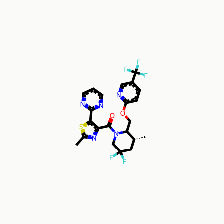 Cc1nc(C(=O)N2CC(F)(F)C[C@@H](C)C2COc2ccc(C(F)(F)F)cn2)c(-c2ncccn2)s1